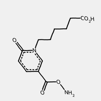 NOC(=O)c1ccc(=O)n(CCCCCC(=O)O)c1